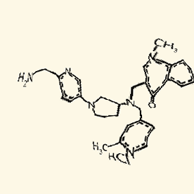 Cc1cc(CN(Cc2cn(C)c3ccccc3c2=O)[C@H]2CCCN(c3ccc(CN)nc3)C2)ccn1.Cl